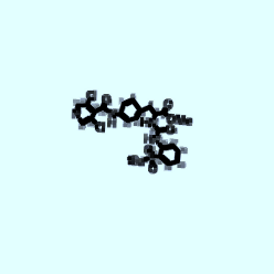 COC(=O)C(Cc1ccc(NC(=O)c2c(Cl)cncc2Cl)cc1)NC(=O)Nc1ccccc1S(=O)(=O)C(C)(C)C